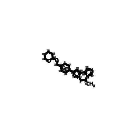 CC1Cn2nc(C34CCC(COC5CCCCO5)(CC3)CO4)cc2-c2cncn21